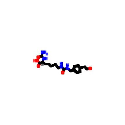 NC(=O)N[C@@H](CCCCCNC(=O)NCc1ccc(CC=O)cc1)C(=O)O